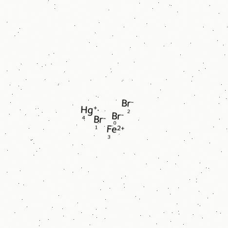 [Br-].[Br-].[Br-].[Fe+2].[Hg+]